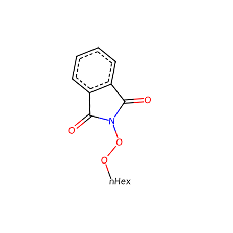 CCCCCCOON1C(=O)c2ccccc2C1=O